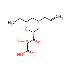 C=CCC(CCCC)CC(C)C(=O)[C@@H](O)C(=O)O